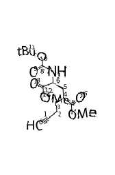 C#CCC[C@@H](C[C@H](NC(=O)OC(C)(C)C)C(=O)OC)C(=O)OC